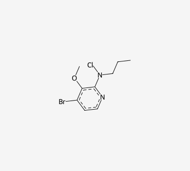 CCCN(Cl)c1nccc(Br)c1OC